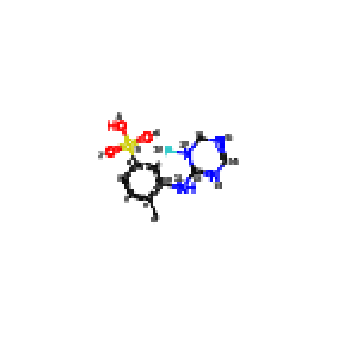 Cc1ccc(S(=O)(=O)O)cc1NC1=N[C]=NCN1F